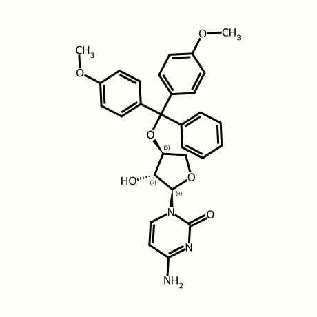 COc1ccc(C(O[C@H]2CO[C@@H](n3ccc(N)nc3=O)[C@@H]2O)(c2ccccc2)c2ccc(OC)cc2)cc1